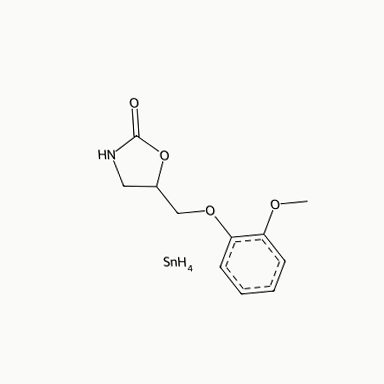 COc1ccccc1OCC1CNC(=O)O1.[SnH4]